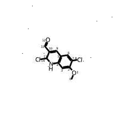 COc1cc2c(cc1Cl)C=C(C=O)C(Cl)N2